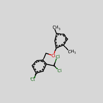 Cc1ccc(C)c(OCc2ccc(Cl)cc2C(Cl)Cl)c1